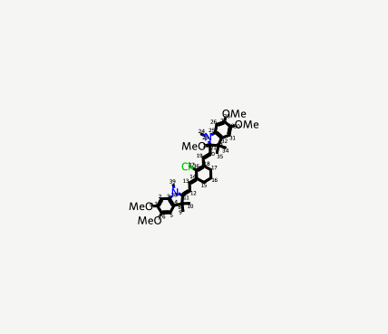 COc1cc2c(cc1OC)C(C)(C)/C(=C/C=C1\CCCC(/C=C/C3(OC)N(C)c4cc(OC)c(OC)cc4C3(C)C)=C1Cl)N2C